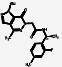 Cc1ccc([C@H](C)NC(=O)Cn2nc(C)c3cnn(C(C)(C)C)c3c2=O)c(F)c1